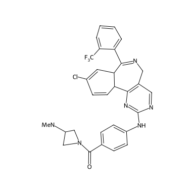 CNC1CN(C(=O)c2ccc(Nc3ncc4c(n3)C3C=CC(Cl)=CC3C(c3ccccc3C(F)(F)F)=NC4)cc2)C1